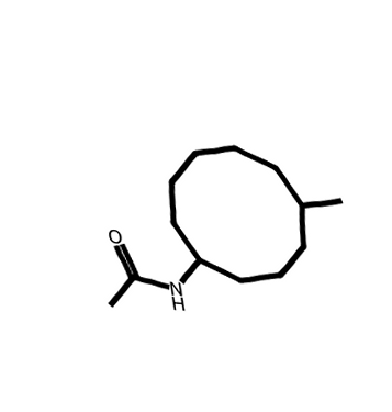 CC(=O)NC1CCCCCC(C)CCC1